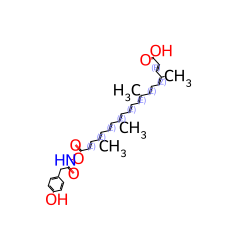 CC(=C/C=C/C(C)=C/C=C/C=C(C)/C=C/C=C(C)/C=C/C(=O)ONC(=O)Cc1ccc(O)cc1)/C=C/C(=O)O